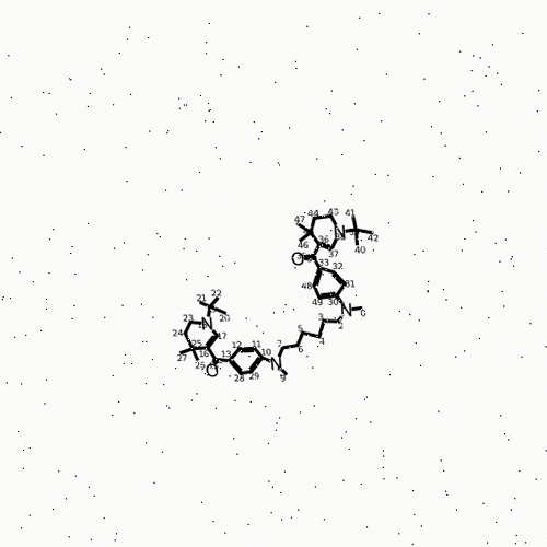 CN(CCCCCCN(C)c1ccc(C(=O)C2=CN(C(C)(C)C)CCC2(C)C)cc1)c1ccc(C(=O)C2=CN(C(C)(C)C)CCC2(C)C)cc1